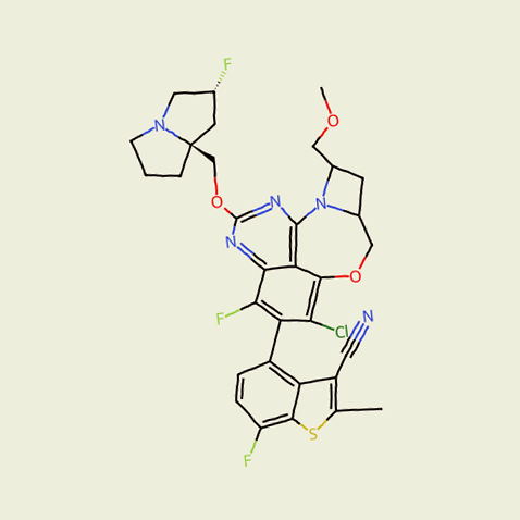 COCC1CC2COc3c(Cl)c(-c4ccc(F)c5sc(C)c(C#N)c45)c(F)c4nc(OC[C@@]56CCCN5C[C@H](F)C6)nc(c34)N12